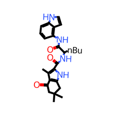 CCCCC(NC(=O)c1[nH]c2c(c1C)C(=O)CC(C)(C)C2)C(=O)Nc1cccc2[nH]ccc12